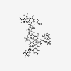 Cc1cc(CC(=O)O)c(C(C)(C)CC(=O)N(Cc2nn(CC(F)(F)F)c3c(-c4ccc(C#CC(C)(C)S(C)(=O)=O)nc4[C@H](Cc4cc(F)cc(F)c4)NC(=O)Cn4nc(C(F)(F)F)c5c4C(F)(F)[C@@H]4C[C@H]54)ccc(Cl)c23)[SH](=O)=O)c(OP(=O)(OC(C)C)OC(C)C)c1